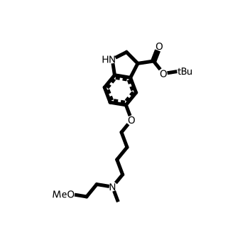 COCCN(C)CCCCOc1ccc2c(c1)C(C(=O)OC(C)(C)C)CN2